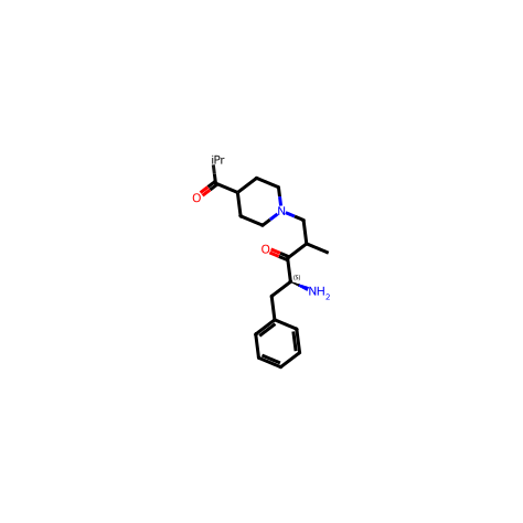 CC(C)C(=O)C1CCN(CC(C)C(=O)[C@@H](N)Cc2ccccc2)CC1